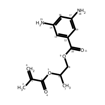 C=C(C)C(=O)OC(C)COC(=O)c1cc(N)cc(N)c1